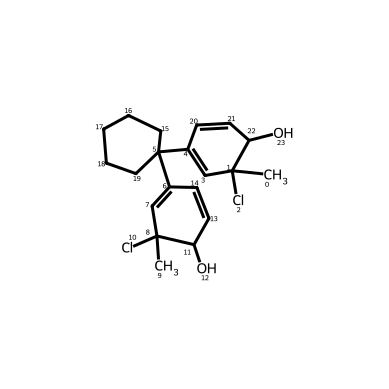 CC1(Cl)C=C(C2(C3=CC(C)(Cl)C(O)C=C3)CCCCC2)C=CC1O